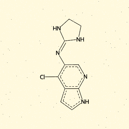 Clc1c(N=C2NCCN2)cnc2[nH]ccc12